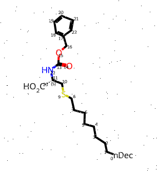 CCCCCCCCCCCCCCCCCCSC[C@@H](NC(=O)OCc1ccccc1)C(=O)O